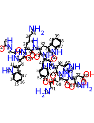 CC(=O)NCC(=O)N[C@@H](Cc1c[nH]c2ccccc12)C(=O)N[C@@H](CCCCN)C(=O)N[C@@H](Cc1c[nH]c2ccccc12)C(=O)N[C@@H](Cc1ccc(O)cc1)C(=O)N[C@@H](Cc1c[nH]cn1)C(=O)N[C@@H](CCCCN)C(=O)N[C@@H](CC(=O)O)C(N)=O